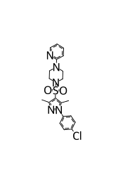 Cc1nn(-c2ccc(Cl)cc2)c(C)c1S(=O)(=O)N1CCN(c2ccccn2)CC1